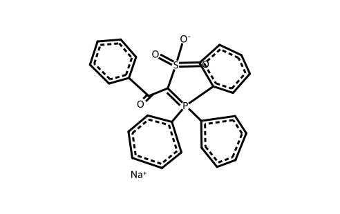 O=C(C(=P(c1ccccc1)(c1ccccc1)c1ccccc1)S(=O)(=O)[O-])c1ccccc1.[Na+]